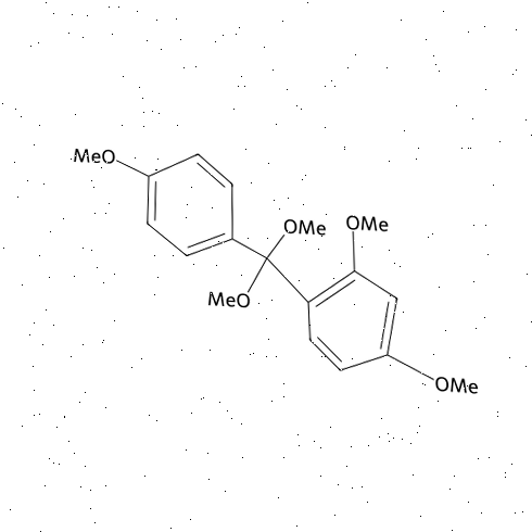 COc1ccc(C(OC)(OC)c2ccc(OC)cc2OC)cc1